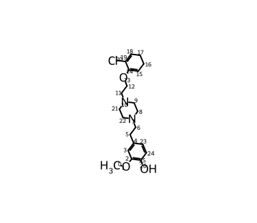 COc1cc(CCN2CCN(CCOC3=CCCC=C3Cl)CC2)ccc1O